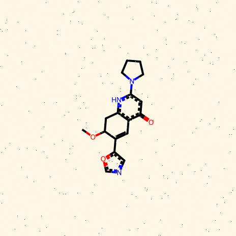 COC1Cc2[nH]c(N3CCCC3)cc(=O)c2C=C1c1cnco1